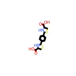 O=C(O)C1CSC(c2ccc(C3NC(C(=O)O)CS3)cc2)N1